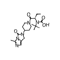 CC[C@H](C(=O)N1CCC(N2Cc3cnc(C)n3C2=O)CC1)N(C(=O)O)C(C)(C)C